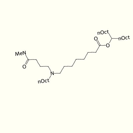 CCCCCCCCC(CCCCCCCC)OC(=O)CCCCCCCN(CCCCCCCC)CCCC(=O)NC